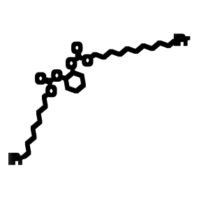 CC(C)CCCCCCCCCCOC(=O)OC1CCCCC1OC(=O)OCCCCCCCCC(C)C